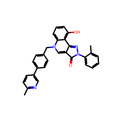 Cc1ccc(-c2ccc(Cn3cc4c(=O)n(-c5ccccc5C)nc-4c4c(O)cccc43)cc2)cn1